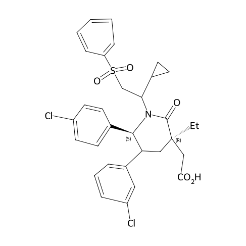 CC[C@]1(CC(=O)O)CC(c2cccc(Cl)c2)[C@@H](c2ccc(Cl)cc2)N(C(CS(=O)(=O)c2ccccc2)C2CC2)C1=O